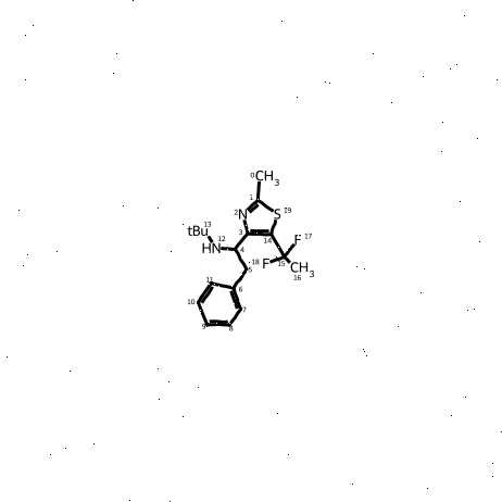 Cc1nc(C(Cc2ccccc2)NC(C)(C)C)c(C(C)(F)F)s1